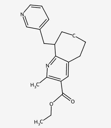 CCOC(=O)c1cc2c(nc1C)C(Cc1cccnc1)CCCC2